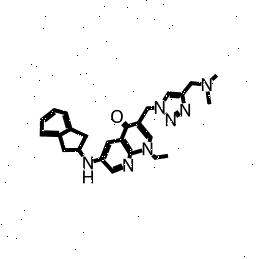 CCn1cc(Cn2cc(CN(C)C)nn2)c(=O)c2cc(NC3Cc4ccccc4C3)cnc21